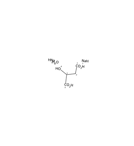 O.O=C(O)CC(O)C(=O)O.[NaH].[NaH]